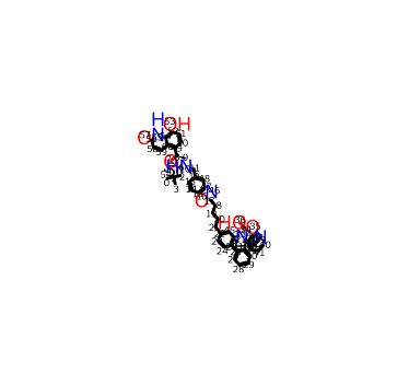 CC(C)(C)[Si](C)(C)O[C@H](CNCc1ccc2oc(CCCCc3ccc(-c4ccccc4)c(N(C(=O)O)[C@H]4CN5CCC4CC5)c3)nc2c1)c1ccc(O)c2[nH]c(=O)ccc12